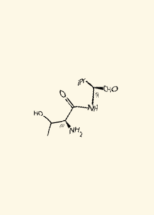 CC(O)[C@H](N)C(=O)N[C@H](C=O)C(C)C